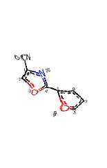 N#Cc1coc(-c2ccco2)n1